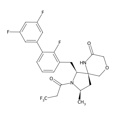 C[C@@H]1C[C@@]2(COCC(=O)N2)[C@H](Cc2cccc(-c3cc(F)cc(F)c3)c2F)N1C(=O)CC(F)(F)F